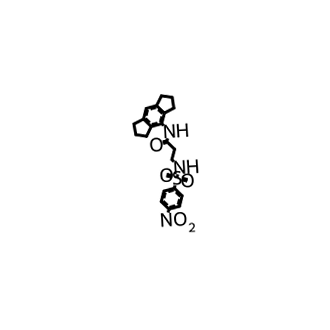 O=C(CCNS(=O)(=O)c1ccc([N+](=O)[O-])cc1)Nc1c2c(cc3c1CCC3)CCC2